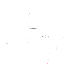 C=Cc1ccccc1C=C.CC(C)[C@H](N)C(=O)O